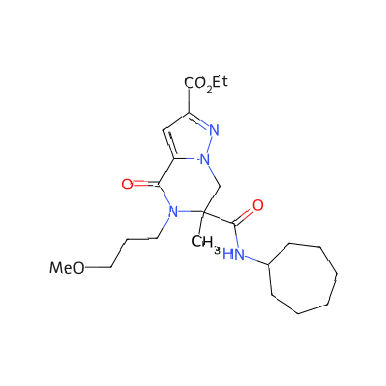 CCOC(=O)c1cc2n(n1)CC(C)(C(=O)NC1CCCCCC1)N(CCCOC)C2=O